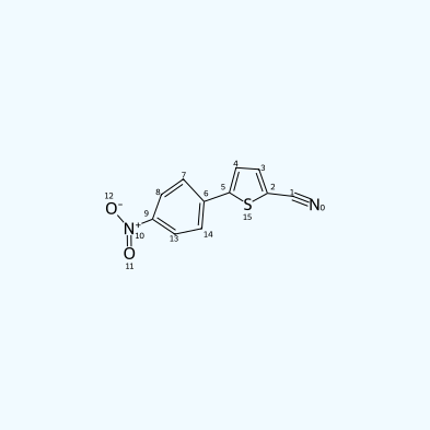 N#Cc1ccc(-c2ccc([N+](=O)[O-])cc2)s1